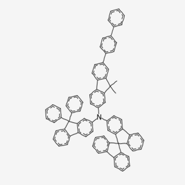 CC1(C)c2cc(-c3ccc(-c4ccccc4)cc3)ccc2-c2ccc(N(c3ccc4c(c3)C(c3ccccc3)(c3ccccc3)c3ccccc3-4)c3ccc4c(c3)C3(c5ccccc5-c5ccccc53)c3ccccc3-4)cc21